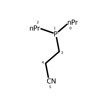 CCCP(CCC)CCC#N